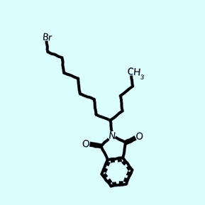 CCCCC(CCCCCCCBr)N1C(=O)c2ccccc2C1=O